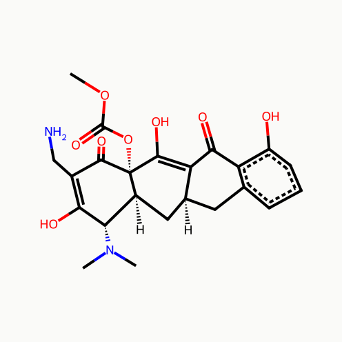 COC(=O)O[C@@]12C(=O)C(CN)=C(O)[C@@H](N(C)C)[C@@H]1C[C@@H]1Cc3cccc(O)c3C(=O)C1=C2O